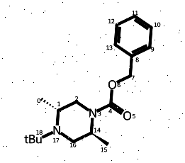 C[C@@H]1CN(C(=O)OCc2ccccc2)[C@@H](C)CN1C(C)(C)C